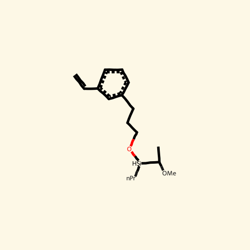 C=Cc1cccc(CCCO[SiH](CCC)C(C)OC)c1